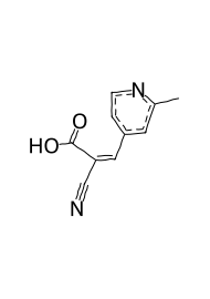 Cc1cc(/C=C(/C#N)C(=O)O)ccn1